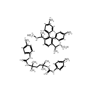 CC(C)(CCC(C)(C)OC(=O)Oc1ccc([N+](=O)[O-])cc1)OC(=O)Oc1ccc([N+](=O)[O-])cc1.CC(OC(=O)O)c1ccc(C(C)OC(=O)O)c(-c2ccc([N+](=O)[O-])cc2)c1-c1ccc([N+](=O)[O-])cc1